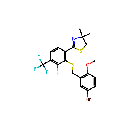 COc1ccc(Br)cc1CSc1c(C2=NC(C)(C)CS2)ccc(C(F)(F)F)c1F